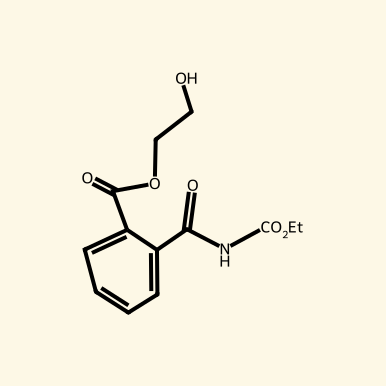 CCOC(=O)NC(=O)c1ccccc1C(=O)OCCO